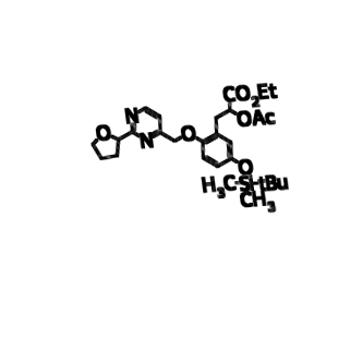 CCOC(=O)C(Cc1cc(O[Si](C)(C)C(C)(C)C)ccc1OCc1ccnc(C2CCCO2)n1)OC(C)=O